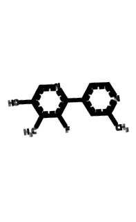 Cc1cc(-c2ncc(O)c(C)c2F)ccn1